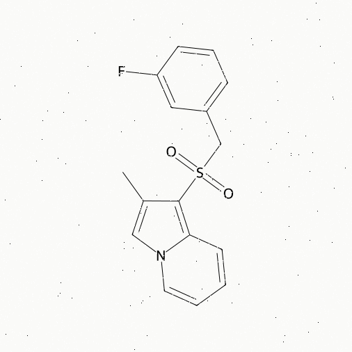 Cc1cn2ccccc2c1S(=O)(=O)Cc1cccc(F)c1